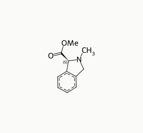 COC(=O)[C@@H]1c2ccccc2CN1C